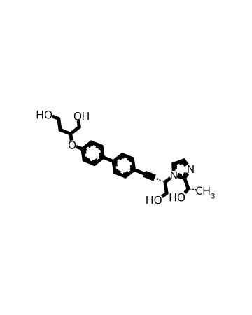 C[C@H](O)c1nccn1[C@@H](C#Cc1ccc(-c2ccc(OC(CO)CCO)cc2)cc1)CO